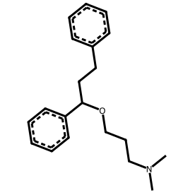 CN(C)CCCOC(CCc1ccccc1)c1ccccc1